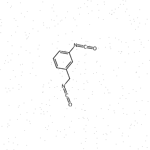 O=C=NCc1cccc(N=C=O)c1